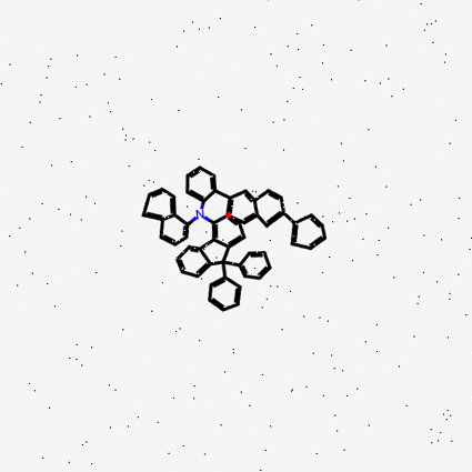 c1ccc(-c2ccc3cc(-c4ccccc4N(c4cccc5c4-c4ccccc4C5(c4ccccc4)c4ccccc4)c4cccc5ccccc45)ccc3c2)cc1